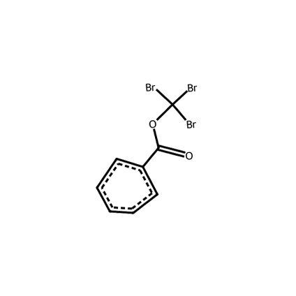 O=C(OC(Br)(Br)Br)c1ccccc1